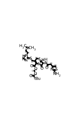 CN(C)CCn1nnnc1SCC1=C(C(=O)OCOC(=O)C(C)(C)C)N2C(=O)[C@@H](NC(=O)Cc3csc(N)n3)[C@H]2SC1